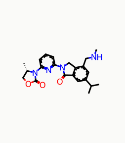 CNCc1cc(C(C)C)cc2c1CN(c1cccc(N3C(=O)OC[C@@H]3C)n1)C2=O